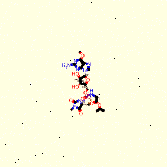 COc1nc(N)nc2c1ncn2[C@@H]1O[C@H](CO[P@](=O)(N[C@@H](C)C(=O)OC(C)C)SC[C@H]2NC(=O)N(C)C2=O)[C@@H](O)[C@@]1(C)O